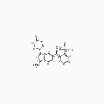 CN1CCC(c2cn(N)c3ccc(C(=O)c4ccccc4C(F)(F)F)cc23)CC1